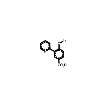 CCOc1ccc(C(=O)O)cc1-c1ccccn1